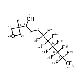 CC1(C(O)CCC(F)(F)C(F)(F)C(F)(F)C(F)(F)C(F)(F)C(F)(F)F)COC1